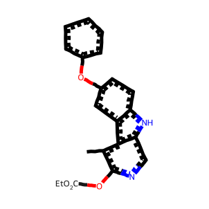 CCOC(=O)Oc1ncc2[nH]c3ccc(Oc4ccccc4)cc3c2c1C